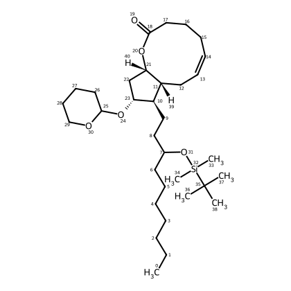 CCCCCCCC(CC[C@@H]1[C@H]2C/C=C\CCCC(=O)O[C@H]2C[C@H]1OC1CCCCO1)O[Si](C)(C)C(C)(C)C